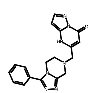 O=c1cc(CN2CCn3c(nnc3-c3ccccc3)C2)[nH]c2ccnn12